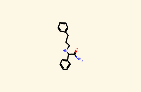 NC(=O)C(NCCCc1ccccc1)c1ccccc1